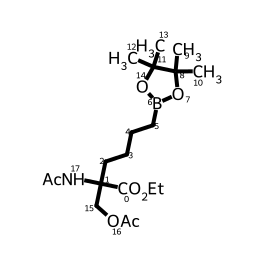 CCOC(=O)C(CCCCB1OC(C)(C)C(C)(C)O1)(COC(C)=O)NC(C)=O